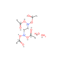 CC(=O)ON(CCN(OC(C)=O)OC(C)=O)OC(C)=O.O.O